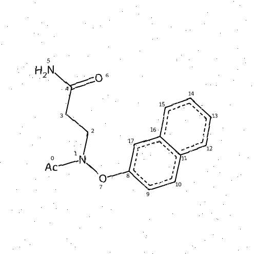 CC(=O)N(CCC(N)=O)Oc1ccc2ccccc2c1